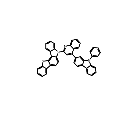 c1ccc(-n2c3ccccc3c3ccc(-c4cc(-n5c6ccccc6c6c7sc8ccccc8c7ccc65)nc5ccccc45)cc32)cc1